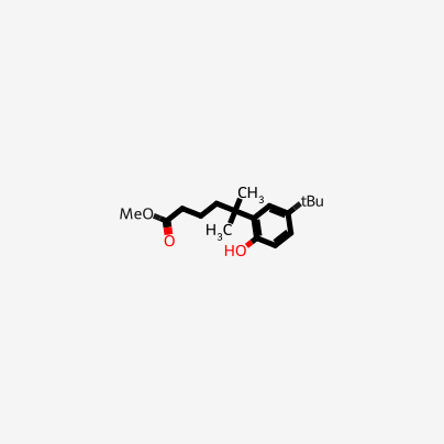 COC(=O)CCCC(C)(C)c1cc(C(C)(C)C)ccc1O